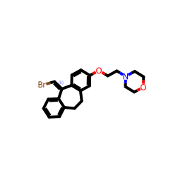 Br/C=C1\c2ccccc2CCc2cc(OCCN3CCOCC3)ccc21